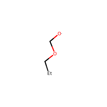 CCCOC[O]